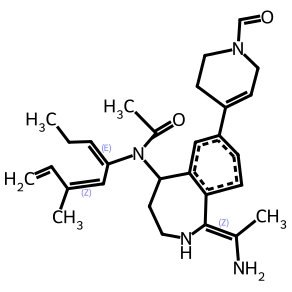 C=C/C(C)=C\C(=C/CC)N(C(C)=O)C1CCN/C(=C(/C)N)c2ccc(C3=CCN(C=O)CC3)cc21